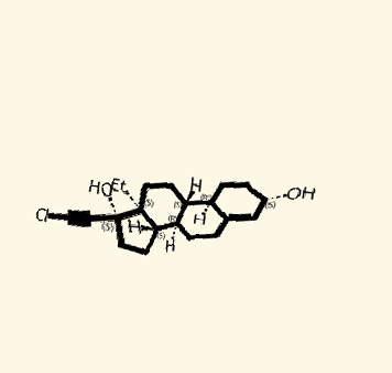 CC[C@]12CC[C@H]3[C@@H](CCC4=C[C@@H](O)CC[C@@H]43)[C@@H]1CC[C@@]2(O)C#CCl